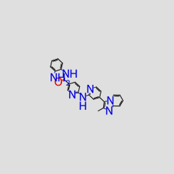 Cc1nc2ccccn2c1-c1ccnc(Nc2ccc(C(=O)Nc3ccccc3N)cn2)c1